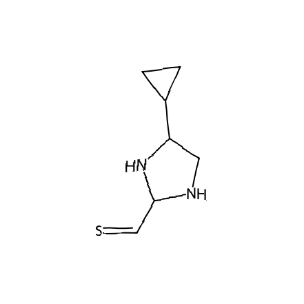 S=CC1NCC(C2CC2)N1